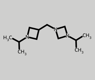 CC(C)N1CC(CN2CN(C(C)C)C2)C1